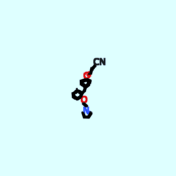 N#CCCCOc1ccc(Cc2[c]cccc2OCCN2CCCC2)cc1